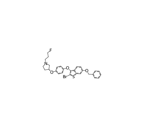 FCCCN1CC[C@H](Oc2ccc(Oc3c(Br)sc4cc(OCc5ccccc5)ccc34)cc2)C1